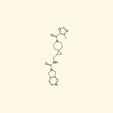 Cc1ncoc1C(=O)N1CCC2(CC1)CC2CNC(=O)N1Cc2ccncc2C1